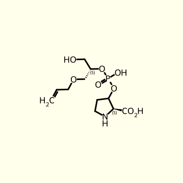 C=CCOC[C@H](CO)OP(=O)(O)OC1CCN[C@@H]1C(=O)O